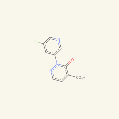 O=C(O)c1ccnn(-c2cncc(F)c2)c1=O